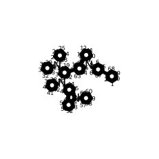 c1ccc(-c2ccc(-n3c4ccccc4c4cc(-c5cc(N(c6ccccc6)c6ccccc6)cc(N(c6ccccc6)c6ccc7c(c6)c6ccccc6n7-c6ccccc6)c5)ccc43)cc2)cc1